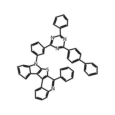 c1ccc(-c2ccc(-c3nc(-c4ccccc4)nc(-c4cccc(-n5c6ccccc6c6c7c(sc65)c(-c5ccccc5)nc5ccccc57)c4)n3)cc2)cc1